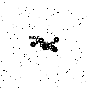 CCOC(=O)[C@@H]1CC[C@H](NC(=O)C2(C[C@@H](CN(CCc3ccccc3)CCc3ccccc3)C(=O)OC(C)(C)C)CCCC2)C[C@@H]1CCc1ccccc1